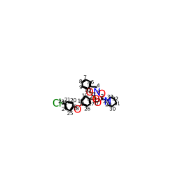 O=C(ON(Cc1ccccc1)S(=O)(=O)c1ccc(Oc2ccc(Cl)cc2)cc1)N1CCCCC1